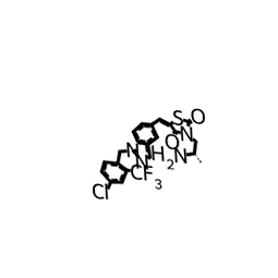 C[C@H](N)CN1C(=O)SC(=Cc2ccc3c(cnn3Cc3ccc(Cl)cc3C(F)(F)F)c2)C1=O